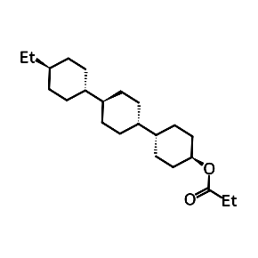 CCC(=O)O[C@H]1CC[C@H]([C@H]2CC[C@H]([C@H]3CC[C@H](CC)CC3)CC2)CC1